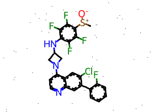 C[S+]([O-])c1c(F)c(F)c(NC2CN(c3ccnc4cc(-c5ccccc5F)c(Cl)cc34)C2)c(F)c1F